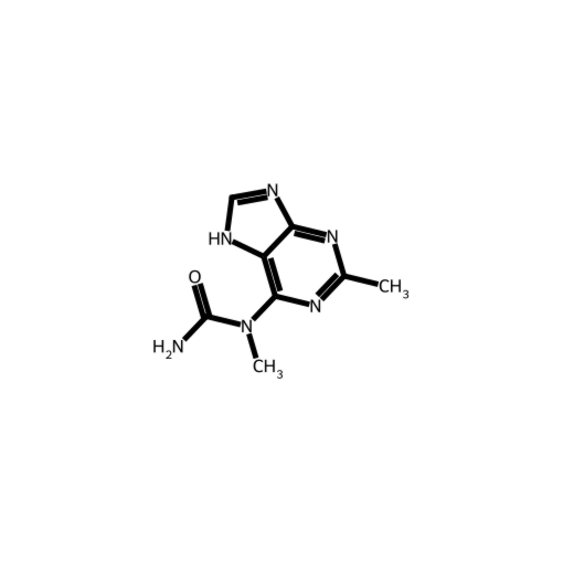 Cc1nc(N(C)C(N)=O)c2[nH]cnc2n1